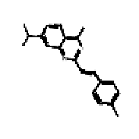 Cc1ccc(/C=C/c2nc(C)c3ccc(C(C)C)cc3n2)cc1